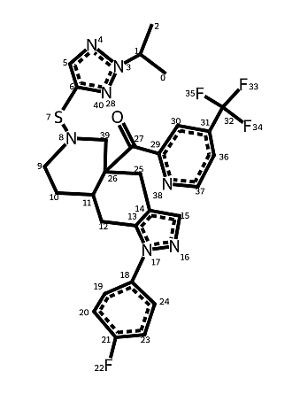 CC(C)n1ncc(SN2CCC3Cc4c(cnn4-c4ccc(F)cc4)CC3(C(=O)c3cc(C(F)(F)F)ccn3)C2)n1